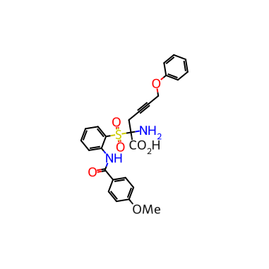 COc1ccc(C(=O)Nc2ccccc2S(=O)(=O)C(N)(CC#CCOc2ccccc2)C(=O)O)cc1